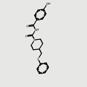 O=C(NC(=O)N1CCC(CSc2ccccc2)CC1)c1ccc(O)cc1